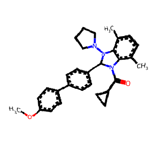 COc1ccc(-c2ccc(C3N(C(=O)C4CC4)c4c(C)ccc(C)c4N3N3CCCC3)cc2)cc1